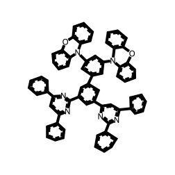 c1ccc(-c2cc(-c3cc(-c4cc(N5c6ccccc6Oc6ccccc65)cc(N5c6ccccc6Oc6ccccc65)c4)cc(-c4nc(-c5ccccc5)cc(-c5ccccc5)n4)c3)nc(-c3ccccc3)n2)cc1